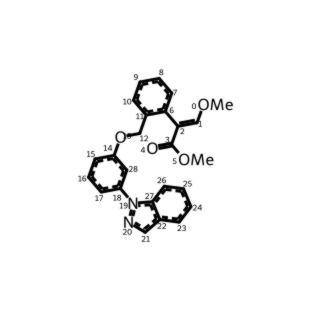 CO/C=C(/C(=O)OC)c1ccccc1COc1cccc(-n2ncc3ccccc32)c1